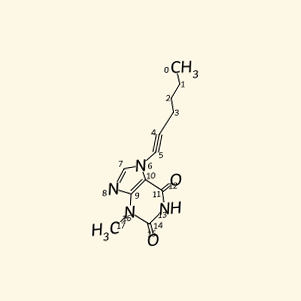 CCCCC#Cn1cnc2c1c(=O)[nH]c(=O)n2C